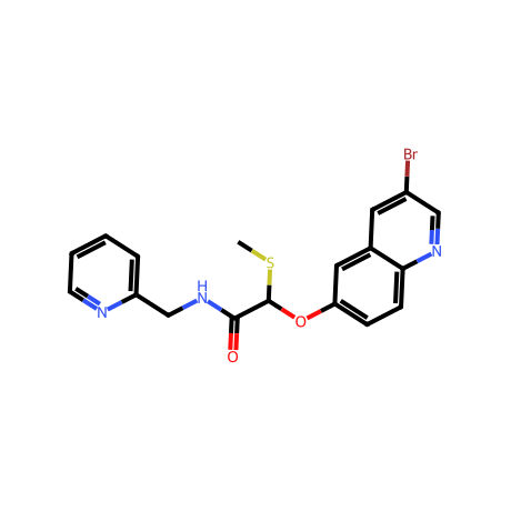 CSC(Oc1ccc2ncc(Br)cc2c1)C(=O)NCc1ccccn1